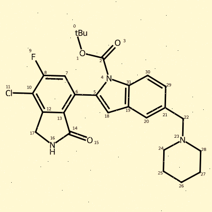 CC(C)(C)OC(=O)n1c(-c2cc(F)c(Cl)c3c2C(=O)NC3)cc2cc(CN3CCCCC3)ccc21